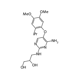 COc1cc(Oc2cnc(NCC(O)CO)nc2N)c(C(C)C)cc1OC